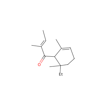 CC=C(C)C(=O)C1C(C)=CCCC1(C)CC